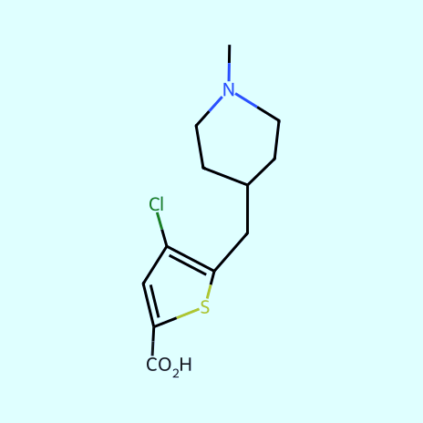 CN1CCC(Cc2sc(C(=O)O)cc2Cl)CC1